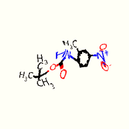 Cc1cc([N+](=O)[O-])ccc1NC(=O)OCC(C)(C)C